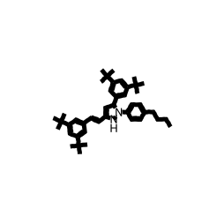 CCCCc1ccc(N2NC(C=Cc3cc(C(C)(C)C)cc(C(C)(C)C)c3)=CC2c2cc(C(C)(C)C)cc(C(C)(C)C)c2)cc1